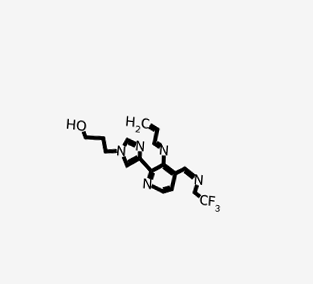 C=C/C=N/c1c(/C=N\CC(F)(F)F)ccnc1-c1cn(CCCO)cn1